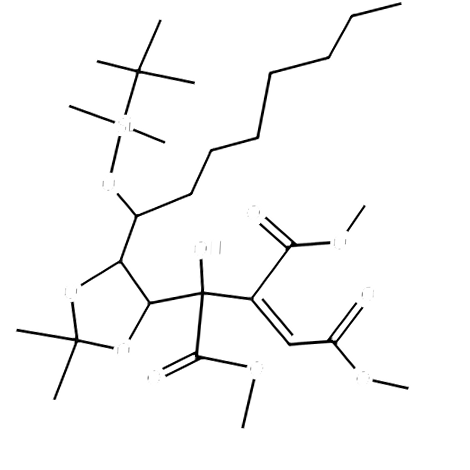 CCCCCCCC(O[Si](C)(C)C(C)(C)C)C1OC(C)(C)OC1C(O)(C(=O)OC)C(=CC(=O)OC)C(=O)OC